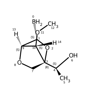 B[C@@H]1O[C@@]2([C@H](C)O)CO[C@@H]1[C@@H]2OC